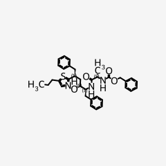 CCCc1cnc([C@@H](Cc2ccccc2)C[C@H](O)[C@H](Cc2ccccc2)NC(=O)[C@H](C)NC(=O)OCc2ccccc2)s1